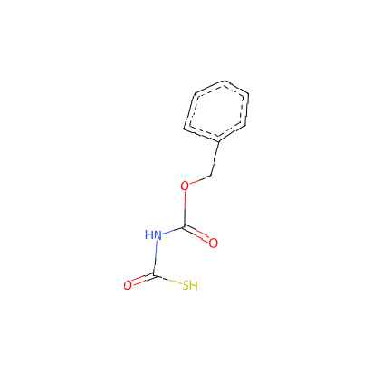 O=C(S)NC(=O)OCc1ccccc1